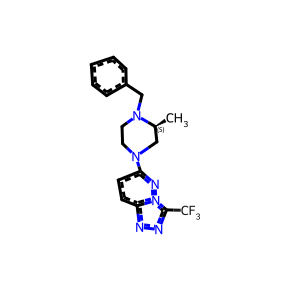 C[C@H]1CN(c2ccc3nnc(C(F)(F)F)n3n2)CCN1Cc1ccccc1